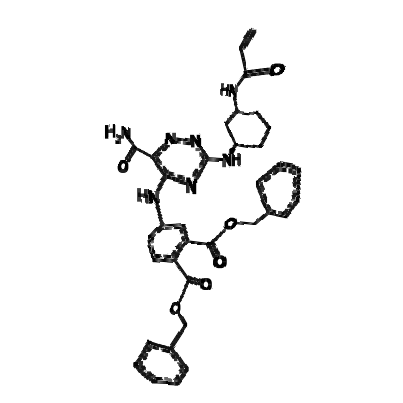 C=CC(=O)NC1CCC[C@@H](Nc2nnc(C(N)=O)c(Nc3ccc(C(=O)OCc4ccccc4)c(C(=O)OCc4ccccc4)c3)n2)C1